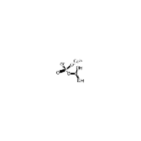 O=P([O-])([O-])OB(O)O.[Ca+2]